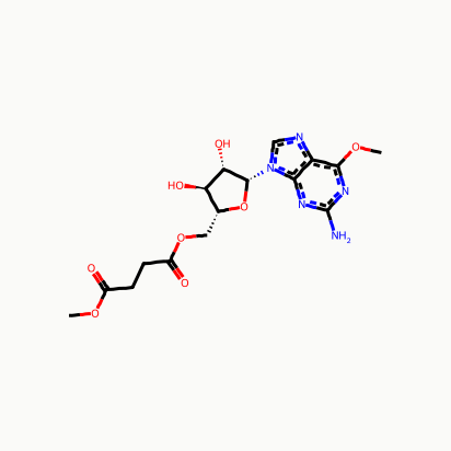 COC(=O)CCC(=O)OC[C@H]1O[C@@H](n2cnc3c(OC)nc(N)nc32)[C@@H](O)[C@@H]1O